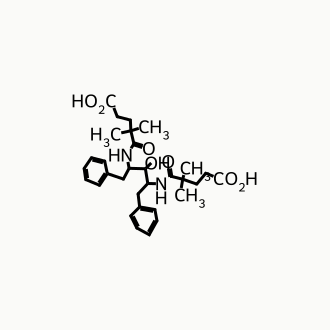 CC(C)(CCC(=O)O)C(=O)NC(Cc1ccccc1)C(O)C(Cc1ccccc1)NC(=O)C(C)(C)CCC(=O)O